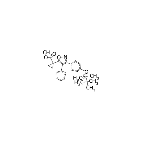 COC(=O)C1(c2onc(-c3ccc(O[Si](C)(C)C(C)(C)C)cc3)c2-c2ccccc2)CC1